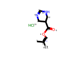 CC/C(C)=C/OC(=O)C1CN=CNC1.Cl